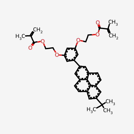 C=C(C)C(=O)OCCOc1cc(OCCOC(=O)C(=C)C)cc(-c2cc3ccc4cc(C(C)(C)C)cc5ccc(c2)c3c45)c1